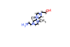 CC[N+]1(C2CN(CCN)CCN2C)CCN(CCO)CC1